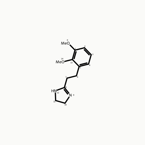 COc1cccc(CCC2=NCCN2)c1OC